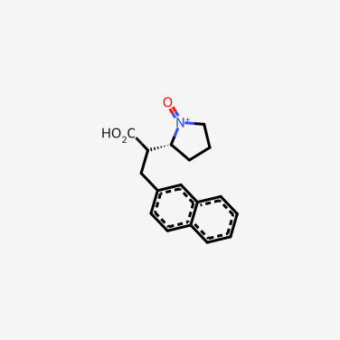 O=C(O)C(Cc1ccc2ccccc2c1)[C@H]1CCC[N+]1=O